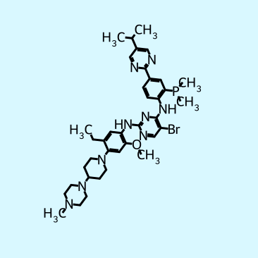 CCc1cc(Nc2ncc(Br)c(Nc3ccc(-c4ncc(C(C)C)cn4)cc3P(C)C)n2)c(OC)cc1N1CCC(N2CCN(C)CC2)CC1